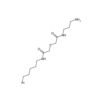 CC(=O)CCCCCNC(=O)CSCC(=O)NCCCN